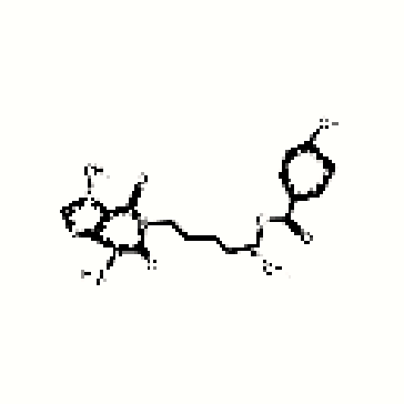 C[C@H](CCCCn1c(=O)c2c(ncn2C)n(C)c1=O)OC(=O)c1ccc(O)cc1